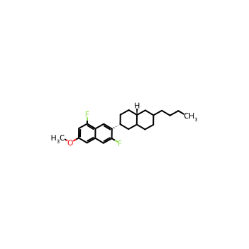 CCCCC1CCC2C[C@H](c3cc4c(F)cc(OC)cc4cc3F)CC[C@@H]2C1